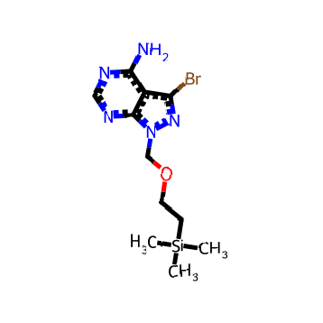 C[Si](C)(C)CCOCn1nc(Br)c2c(N)ncnc21